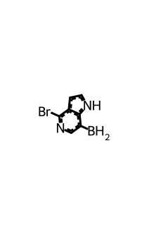 Bc1cnc(Br)c2cc[nH]c12